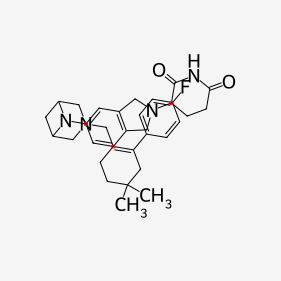 CC1(C)CCC(CN2CC3CC(C2)N3c2ccc3c(c2)CN(C2CCC(=O)NC2=O)C3)=C(c2ccc(F)cc2)C1